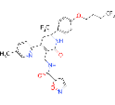 Cc1ccc(C2=C(CNC(=O)c3ccno3)C(=O)N[C@@](c3ccc(OCCCC(F)(F)F)cc3)(C(F)(F)F)C2)nc1